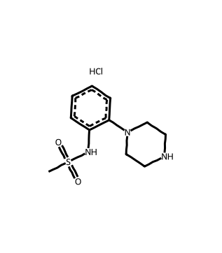 CS(=O)(=O)Nc1ccccc1N1CCNCC1.Cl